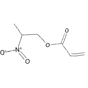 C=CC(=O)OCC(C)[N+](=O)[O-]